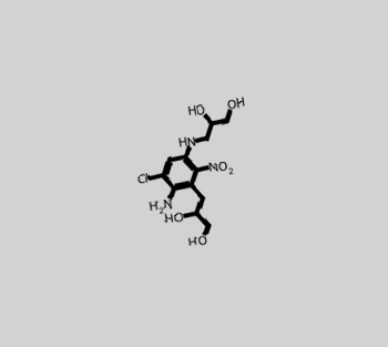 Nc1c(Cl)cc(NCC(O)CO)c([N+](=O)[O-])c1CC(O)CO